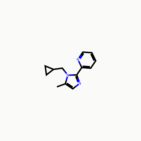 Cc1cnc(-c2ccccn2)n1CC1CC1